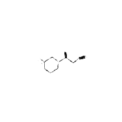 N#CCC(=O)N1CCC[C@@H](N)C1